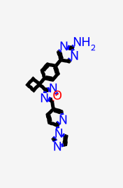 Nc1ncc(-c2ccc(C3(c4noc(-c5ccc(-n6ccnc6)nc5)n4)CCC3)cc2)cn1